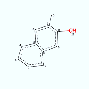 Cc1cc2ccccc2[c]c1O